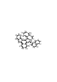 c1ccc2c(-n3c4ccc5ccccc5c4c4c5c6ccccc6sc5c5ccccc5c43)cccc2c1